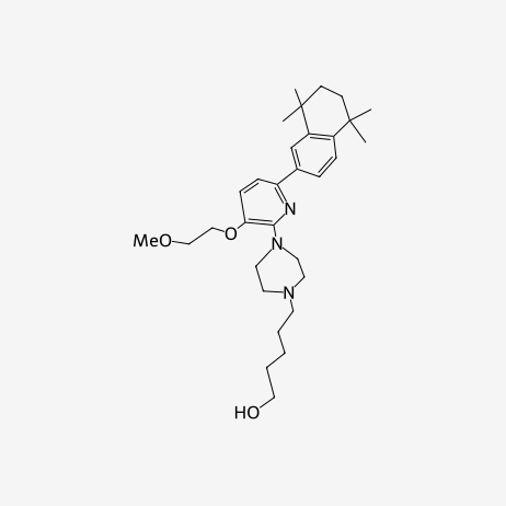 COCCOc1ccc(-c2ccc3c(c2)C(C)(C)CCC3(C)C)nc1N1CCN(CCCCCO)CC1